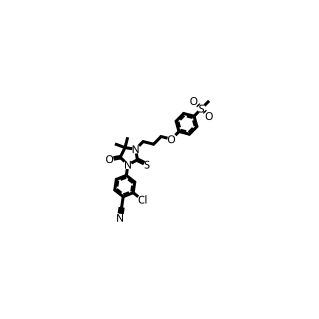 CC1(C)C(=O)N(c2ccc(C#N)c(Cl)c2)C(=S)N1CCCOc1ccc(S(C)(=O)=O)cc1